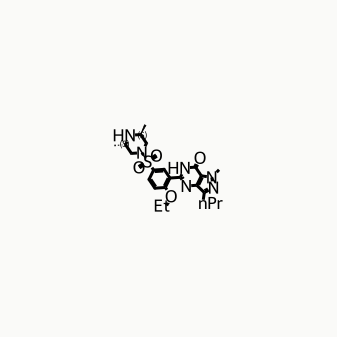 CCCc1nn(C)c2c(=O)[nH]c(-c3cc(S(=O)(=O)N4C[C@H](C)N[C@@H](C)C4)ccc3OCC)nc12